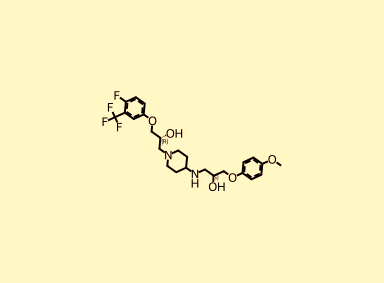 COc1ccc(OC[C@@H](O)CNC2CCN(C[C@@H](O)COc3ccc(F)c(C(F)(F)F)c3)CC2)cc1